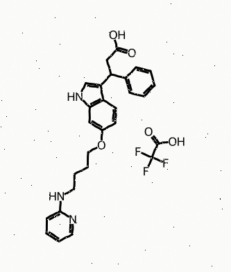 O=C(O)C(F)(F)F.O=C(O)CC(c1ccccc1)c1c[nH]c2cc(OCCCCNc3ccccn3)ccc12